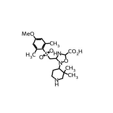 COc1cc(C)c(S(=O)(=O)CC2NC(C(=O)O)ON2C2CCNCC2(C)C)c(C)c1